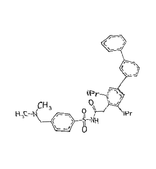 CC(C)c1cc(-c2cccc(-c3ccccc3)c2)cc(C(C)C)c1CC(=O)NS(=O)(=O)c1ccc(CN(C)C)cc1